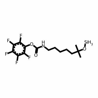 CC(C)(CCCCCNC(=O)Oc1c(F)c(F)c(F)c(F)c1F)O[SiH3]